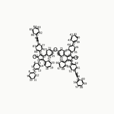 O=C1C(c2ccc(-c3ccccc3)cc2)=C(c2ccccc2)C(c2ccc(Oc3ccc(C4=C(c5ccc(-c6ccccc6)cc5)C(=O)C(c5ccc(C#Cc6ccccc6)cc5)=C4c4ccccc4)cc3)cc2)=C1c1ccc(C#Cc2ccccc2)cc1